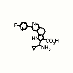 NC(c1[nH]c2c(c1C(=O)O)CCc1cnc(-c3ccc(F)nc3)cc1-2)C1CC1